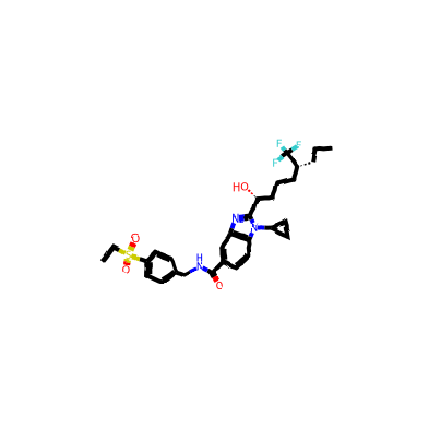 CCC[C@H](CCC[C@@H](O)c1nc2cc(C(=O)NCc3ccc(S(=O)(=O)CC)cc3)ccc2n1C1CC1)C(F)(F)F